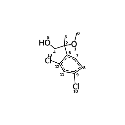 COC(C)(CO)c1ccc(Cl)cc1Cl